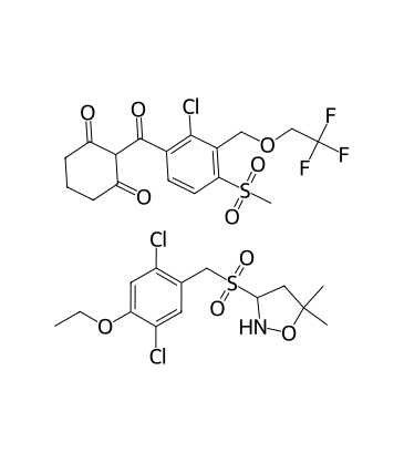 CCOc1cc(Cl)c(CS(=O)(=O)C2CC(C)(C)ON2)cc1Cl.CS(=O)(=O)c1ccc(C(=O)C2C(=O)CCCC2=O)c(Cl)c1COCC(F)(F)F